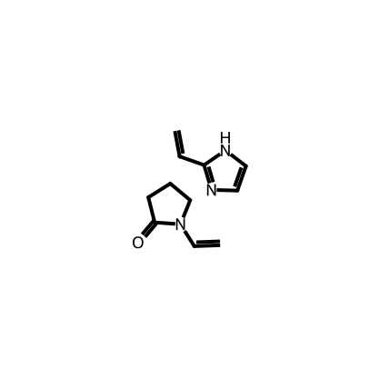 C=CN1CCCC1=O.C=Cc1ncc[nH]1